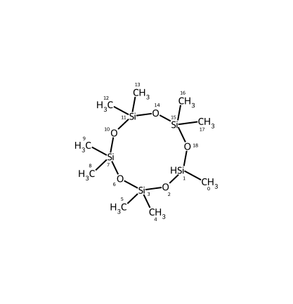 C[SiH]1O[Si](C)(C)O[Si](C)(C)O[Si](C)(C)O[Si](C)(C)O1